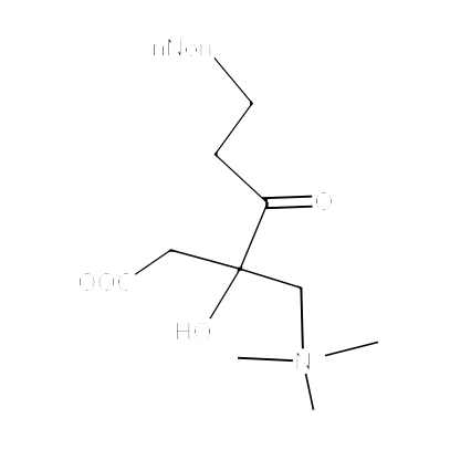 CCCCCCCCCCCC(=O)C(O)(CC(=O)[O-])C[N+](C)(C)C